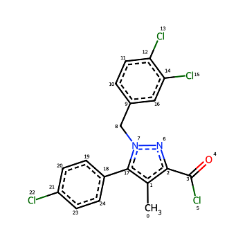 Cc1c(C(=O)Cl)nn(Cc2ccc(Cl)c(Cl)c2)c1-c1ccc(Cl)cc1